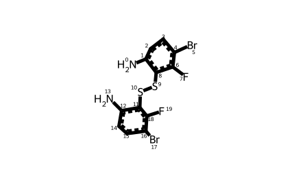 Nc1ccc(Br)c(F)c1SSc1c(N)ccc(Br)c1F